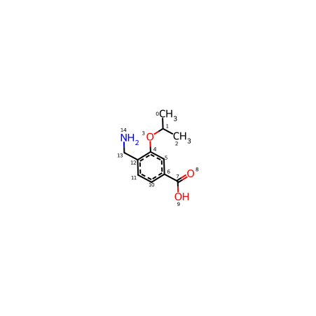 CC(C)Oc1cc(C(=O)O)ccc1CN